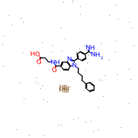 Br.Br.N=C(N)c1ccc(-c2nc3cc(C(=O)NCCC(=O)O)ccc3n2CCCCc2ccccc2)cc1